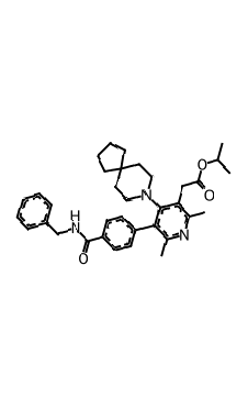 Cc1nc(C)c(-c2ccc(C(=O)NCc3ccccc3)cc2)c(N2CCC3(CCCC3)CC2)c1CC(=O)OC(C)C